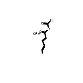 C/C=C/C=C/C(=O)OC(=O)CC.[KH].[NaH]